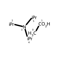 CC(=O)O.CC(C)N(C(C)C)C(C)C